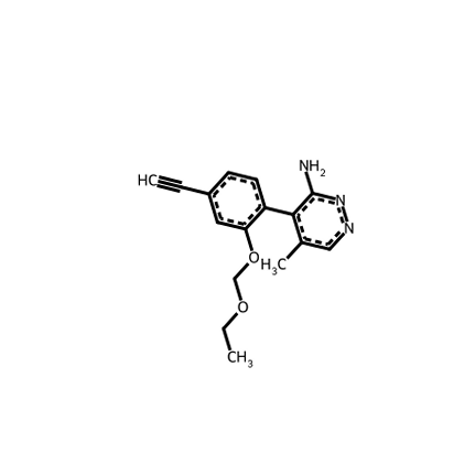 C#Cc1ccc(-c2c(C)cnnc2N)c(OCOCC)c1